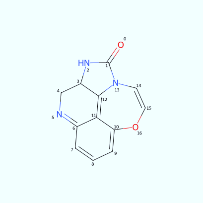 O=C1NC2CN=c3cccc4c3=C2N1C=CO4